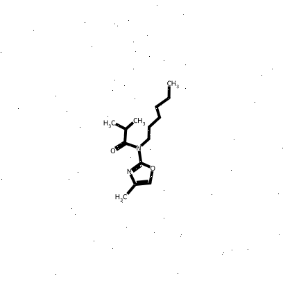 CCCCCCN(C(=O)C(C)C)c1nc(C)co1